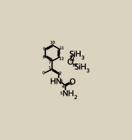 CC(=CNC(N)=O)c1ccccc1.[SiH3]O[SiH3]